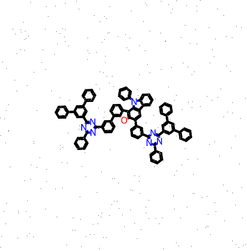 c1ccc(-c2cc(-c3ccccc3)cc(-c3nc(-c4ccccc4)nc(-c4cccc(-c5cccc6c5oc5c(-c7cccc(-c8nc(-c9ccccc9)nc(-c9cc(-c%10ccccc%10)cc(-c%10ccccc%10)c9)n8)c7)cc7c8ccccc8n(-c8ccccc8)c7c56)c4)n3)c2)cc1